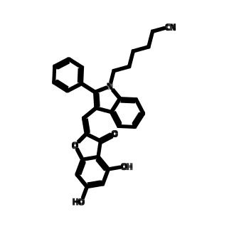 N#CCCCCCn1c(-c2ccccc2)c(/C=C2/Oc3cc(O)cc(O)c3C2=O)c2ccccc21